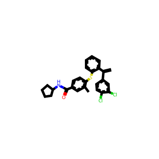 C=C(c1ccc(Cl)c(Cl)c1)c1ccccc1Sc1ccc(C(=O)NC2CCCC2)cc1C